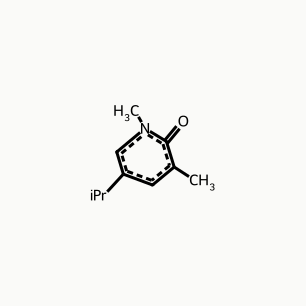 Cc1cc(C(C)C)cn(C)c1=O